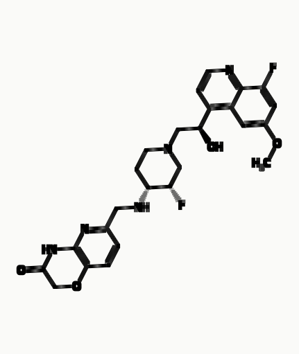 COc1cc(F)c2nccc([C@@H](O)CN3CC[C@@H](NCc4ccc5c(n4)NC(=O)CO5)[C@@H](F)C3)c2c1